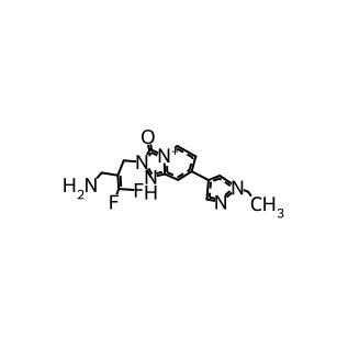 CCn1cc(-c2cc[n+]3c(=O)n(CC(CN)=C(F)F)[nH]c3c2)cn1